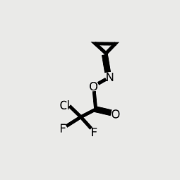 O=C(ON=C1CC1)C(F)(F)Cl